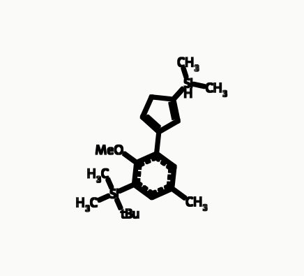 COc1c(C2=CCC([SiH](C)C)=C2)cc(C)cc1[Si](C)(C)C(C)(C)C